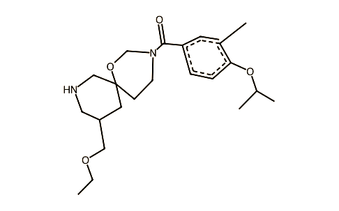 CCOCC1CNCC2(CCN(C(=O)c3ccc(OC(C)C)c(C)c3)CO2)C1